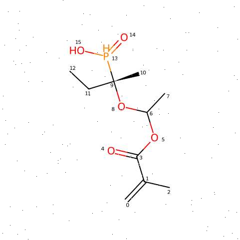 C=C(C)C(=O)OC(C)O[C@](C)(CC)[PH](=O)O